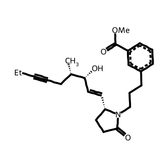 CCC#CC[C@H](C)[C@H](O)C=C[C@H]1CCC(=O)N1CCCc1cccc(C(=O)OC)c1